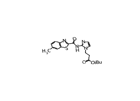 Cc1ccc2nc(C(=O)Nc3nccn3CCC(=O)OCC(C)C)sc2c1